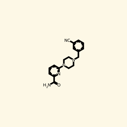 N#Cc1cccc(CN2CCN(c3cccc(C(N)=O)n3)CC2)c1